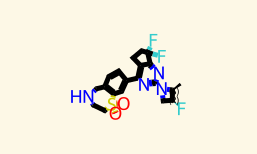 C[C@H]1[C@H](F)CN1c1nc(-c2ccc3c(c2)S(=O)(=O)CCNC3)c2c(n1)C(F)(F)CC2